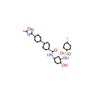 Cc1nc(-c2ccc(-c3ccc(C(=O)Nc4ccc(O)c(NS(=O)(=O)c5ccc(F)cc5)c4)cc3)cc2)no1